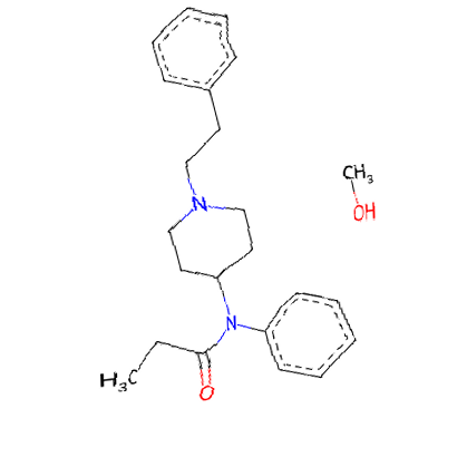 CCC(=O)N(c1ccccc1)C1CCN(CCc2ccccc2)CC1.CO